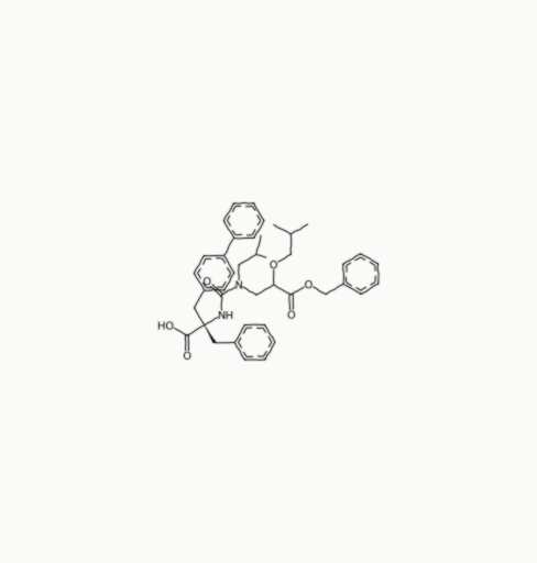 CC(C)COC(CN(CC(C)C)C(=O)N[C@@](Cc1ccccc1)(Cc1ccc(-c2ccccc2)cc1)C(=O)O)C(=O)OCc1ccccc1